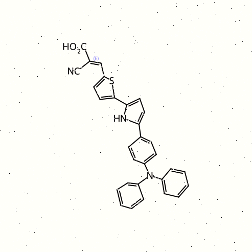 N#C/C(=C\c1ccc(-c2ccc(-c3ccc(N(c4ccccc4)c4ccccc4)cc3)[nH]2)s1)C(=O)O